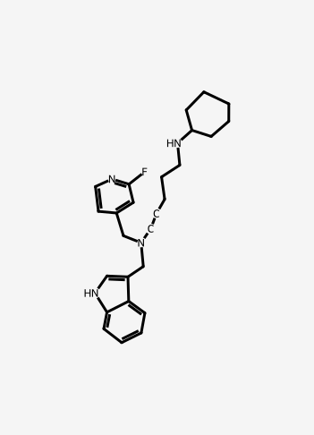 Fc1cc(CN(CCCCCNC2CCCCC2)Cc2c[nH]c3ccccc23)ccn1